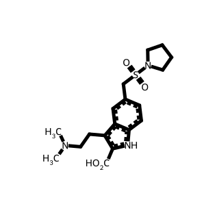 CN(C)CCc1c(C(=O)O)[nH]c2ccc(CS(=O)(=O)N3CCCC3)cc12